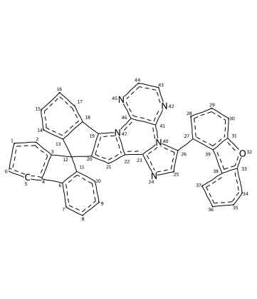 c1ccc2c(c1)-c1ccccc1C21c2ccccc2-c2c1cc1c3ncc(-c4cccc5oc6ccccc6c45)n3c3nccnc3n21